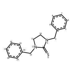 S=C1N(Cc2ccccc2)CCN1Cc1ccccc1